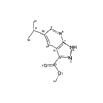 COC(=O)c1n[nH]c2ncc(C(C)C)cc12